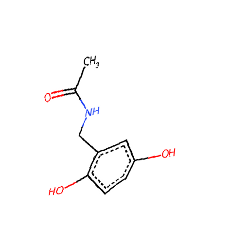 CC(=O)NCc1cc(O)ccc1O